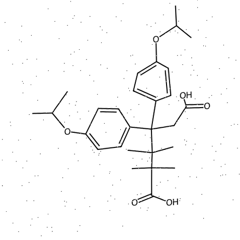 CC(C)Oc1ccc(C(CC(=O)O)(c2ccc(OC(C)C)cc2)C(C)(C)C(C)(C)C(=O)O)cc1